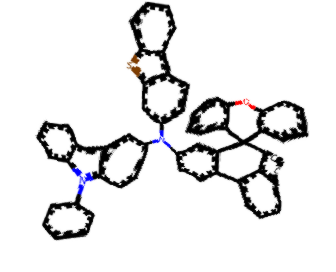 c1ccc(-n2c3ccccc3c3cc(N(c4ccc5c(c4)C4(c6ccccc6Oc6ccccc64)c4cccc6cccc-5c46)c4ccc5c(c4)sc4ccccc45)ccc32)cc1